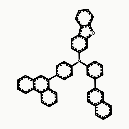 c1cc(-c2ccc3ccccc3c2)cc(N(c2ccc(-c3cc4ccccc4c4ccccc34)cc2)c2ccc3c(c2)oc2ccccc23)c1